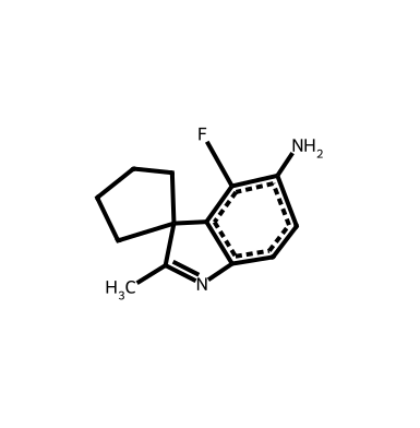 CC1=Nc2ccc(N)c(F)c2C12CCCC2